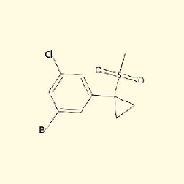 CS(=O)(=O)C1(c2cc(Cl)cc(Br)c2)CC1